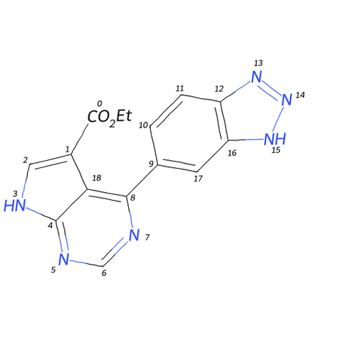 CCOC(=O)c1c[nH]c2ncnc(-c3ccc4nn[nH]c4c3)c12